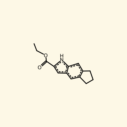 CCOC(=O)c1cc2cc3c(cc2[nH]1)CCC3